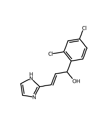 OC(C=Cc1ncc[nH]1)c1ccc(Cl)cc1Cl